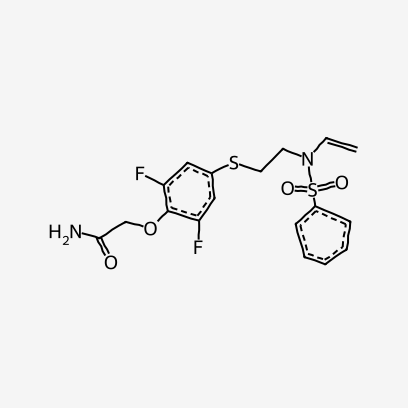 C=CN(CCSc1cc(F)c(OCC(N)=O)c(F)c1)S(=O)(=O)c1ccccc1